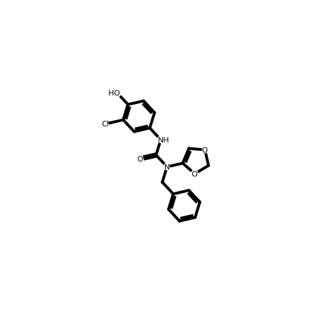 O=C(Nc1ccc(O)c(Cl)c1)N(Cc1ccccc1)C1=COCO1